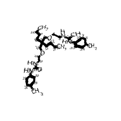 C=C(NCCOCC(CCCC)(CCCC)COCCNC(=O)Nc1ccc(C)cc1)Nc1ccc(C)cc1